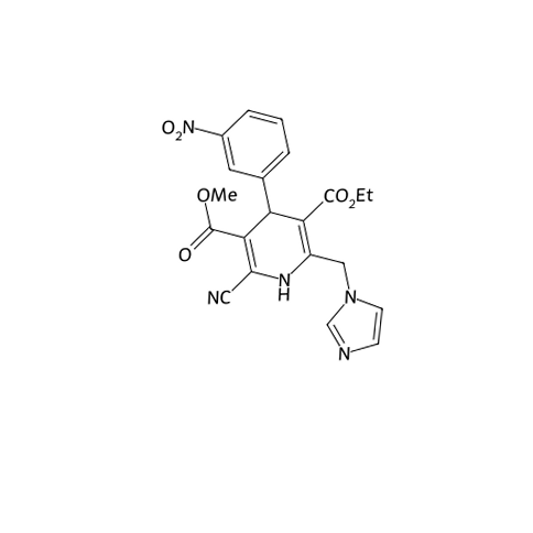 CCOC(=O)C1=C(Cn2ccnc2)NC(C#N)=C(C(=O)OC)C1c1cccc([N+](=O)[O-])c1